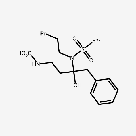 CCCS(=O)(=O)N(CCC(C)C)C(O)(CCNC(=O)O)Cc1ccccc1